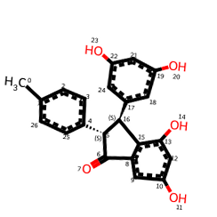 Cc1ccc([C@H]2C(=O)c3cc(O)cc(O)c3[C@@H]2c2cc(O)cc(O)c2)cc1